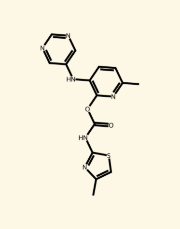 Cc1csc(NC(=O)Oc2nc(C)ccc2Nc2cncnc2)n1